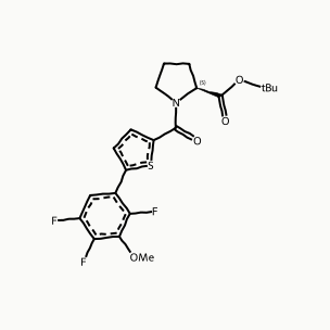 COc1c(F)c(F)cc(-c2ccc(C(=O)N3CCC[C@H]3C(=O)OC(C)(C)C)s2)c1F